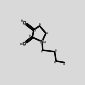 CCCCN1CCC(=O)C1=O